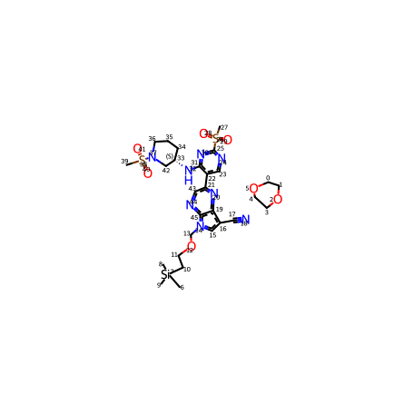 C1COCCO1.C[Si](C)(C)CCOCn1cc(C#N)c2nc(-c3cnc(S(C)(=O)=O)nc3N[C@H]3CCCN(S(C)(=O)=O)C3)cnc21